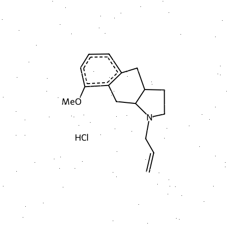 C=CCN1CCC2Cc3cccc(OC)c3CC21.Cl